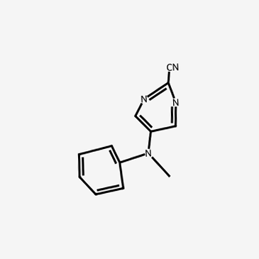 CN(c1ccccc1)c1cnc(C#N)nc1